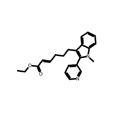 CCOC(=O)/C=C/CCCc1c(-c2cccnc2)n(C)c2ccccc12